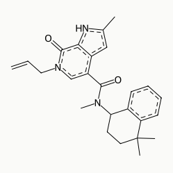 C=CCn1cc(C(=O)N(C)C2CCC(C)(C)c3ccccc32)c2cc(C)[nH]c2c1=O